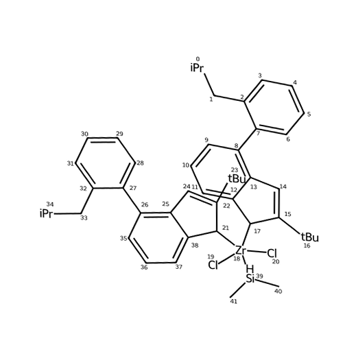 CC(C)Cc1ccccc1-c1cccc2c1C=C(C(C)(C)C)[CH]2[Zr]([Cl])([Cl])([CH]1C(C(C)(C)C)=Cc2c(-c3ccccc3CC(C)C)cccc21)[SiH](C)C